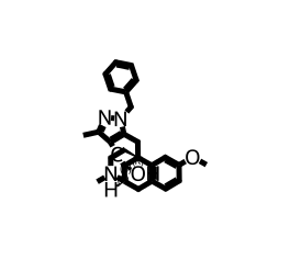 COc1ccc2c(c1)[C@]13CCN(C)[C@H](C2)[C@]1(O)Cc1c(C)nn(Cc2ccccc2)c1C3